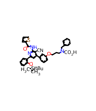 CC(C)(C)[Si](C)(C)Oc1ccccc1-c1cc(-c2cccc(OCCCN(Cc3ccccc3)C(=O)O)c2)c(C#N)c(NC(=O)c2cccs2)n1